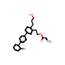 C=CC(=O)OCCc1cc(-c2ccc(-c3ccccc3CC)cc2)ccc1CCCO